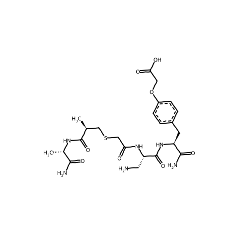 C[C@H](NC(=O)[C@@H](C)CSCC(=O)N[C@@H](CN)C(=O)N[C@@H](Cc1ccc(OCC(=O)O)cc1)C(N)=O)C(N)=O